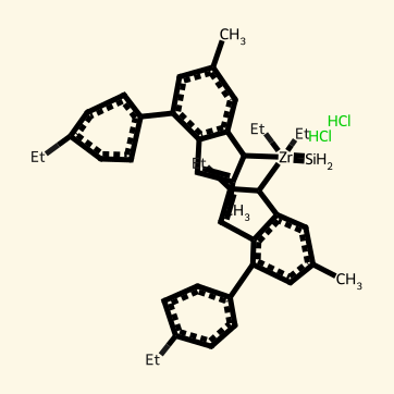 CCC1=Cc2c(-c3ccc(CC)cc3)cc(C)cc2[CH]1[Zr](=[SiH2])([CH2]C)([CH2]C)[CH]1C(C)=Cc2c(-c3ccc(CC)cc3)cc(C)cc21.Cl.Cl